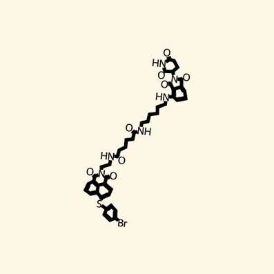 O=C(CCCCC(=O)NCCN1C(=O)c2cccc3c(Sc4ccc(Br)cc4)ccc(c23)C1=O)NCCCCCCNc1cccc2c1C(=O)N(C1CCC(=O)NC1=O)C2=O